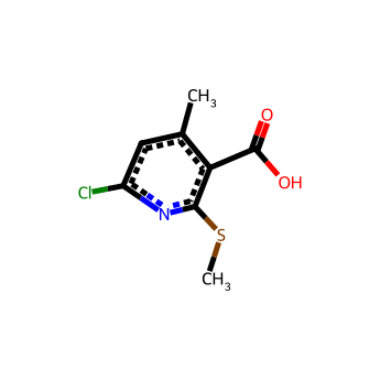 CSc1nc(Cl)cc(C)c1C(=O)O